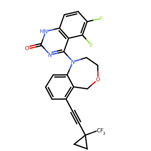 O=c1nc(N2CCOCc3c(C#CC4(C(F)(F)F)CC4)cccc32)c2c(F)c(F)ccc2[nH]1